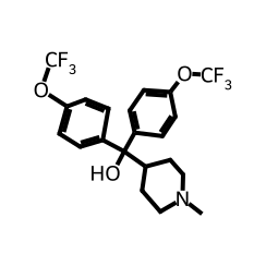 CN1CCC(C(O)(c2ccc(OC(F)(F)F)cc2)c2ccc(OC(F)(F)F)cc2)CC1